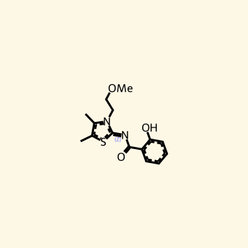 COCCn1c(C)c(C)s/c1=N\C(=O)c1ccccc1O